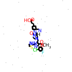 COC(=O)C1=C(CN2CCN3C(=O)N(c4ccc(CCC(=O)O)cc4C#N)C[C@@H]3C2)NC(c2nccs2)=N[C@H]1c1ccc(F)cc1Cl